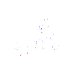 C[C@@H]1COCCN1c1nc2c(cnn2-c2cc[nH]n2)c2c1ccn2S(C)(=O)=O.O=C(O)C(F)(F)F